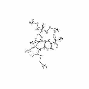 CC=C1N(C(C)CCC)c2ccc(S(=O)(=O)O)cc2C1(C)CCP(=O)(OCC)OCC